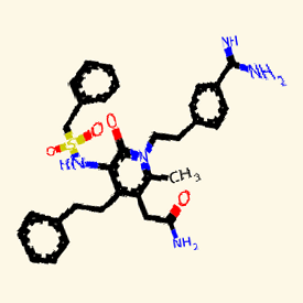 Cc1c(CC(N)=O)c(CCc2ccccc2)c(NS(=O)(=O)Cc2ccccc2)c(=O)n1CCc1ccc(C(=N)N)cc1